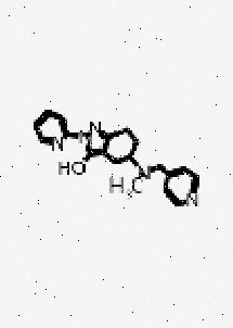 CN(Cc1ccncc1)C1CCc2nn(-c3ccccn3)c(O)c2C1